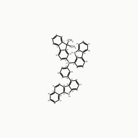 CC1(C)c2ccccc2-c2ccc(N(c3cccc(-c4cccc5oc6c7ccccc7ccc6c45)c3)c3cccc4c3sc3ccccc34)cc21